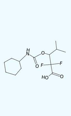 CC(C)C(OC(=O)NC1CCCCC1)C(F)(F)C(=O)O